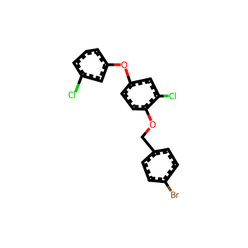 Clc1cccc(Oc2ccc(OCc3ccc(Br)cc3)c(Cl)c2)c1